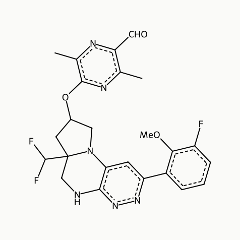 COc1c(F)cccc1-c1cc2c(nn1)NCC1(C(F)F)CC(Oc3nc(C)c(C=O)nc3C)CN21